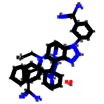 CC[n+]1c(-c2ccccc2)c2cc3ccc2c2c4nnn(-c5cccc(C(=N)N)c5)c4c(cc21)nnn3-c1cccc(C(=N)N)c1.O